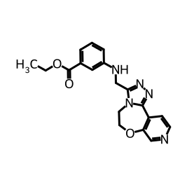 CCOC(=O)c1cccc(NCc2nnc3n2CCOc2cnccc2-3)c1